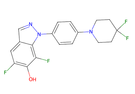 Oc1c(F)cc2cnn(-c3ccc(N4CCC(F)(F)CC4)cc3)c2c1F